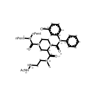 CCCCCN(CCCCC)C(=O)N1CCN(C(=O)N(c2ccccc2)c2cccc(Cl)c2)C(C(=O)N(C)CCNNC(C)=O)C1